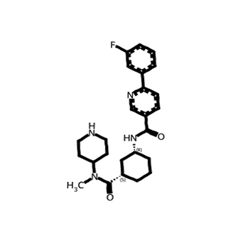 CN(C(=O)[C@H]1CCC[C@@H](NC(=O)c2ccc(-c3cccc(F)c3)nc2)C1)C1CCNCC1